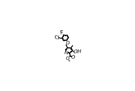 COC(=O)c1ncc(COc2ccc(F)c(Cl)c2)c(C)c1O